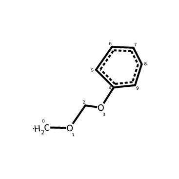 [CH2]OCOc1ccccc1